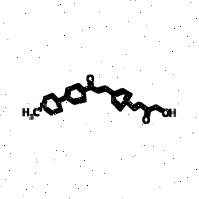 CN1CCC(c2ccc(C(=O)/C=C/c3ccc(/C=C/C(=O)CO)cc3)cc2)CC1